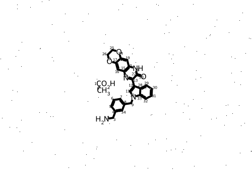 CC(=O)O.NCc1cccc(Cn2cc(-c3nc4cc5c(cc4[nH]c3=O)OCCO5)c3ccccc32)c1